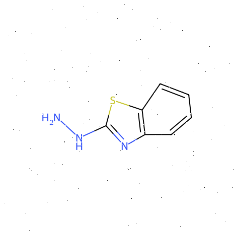 NNc1nc2[c]cccc2s1